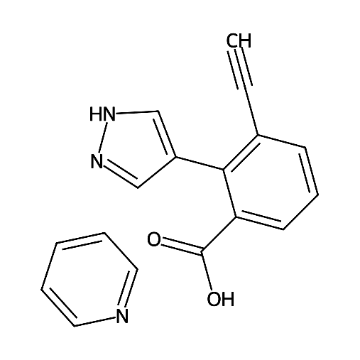 C#Cc1cccc(C(=O)O)c1-c1cn[nH]c1.c1ccncc1